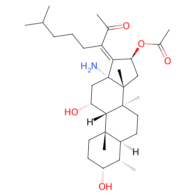 CC(=O)O[C@H]1C[C@@]2(C)[C@@](N)(C[C@@H](O)[C@H]3[C@@]4(C)CC[C@@H](O)[C@@H](C)[C@@H]4CC[C@@]32C)/C1=C(\CCCC(C)C)C(C)=O